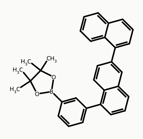 CC1(C)OB(c2cccc(-c3cccc4cc(-c5cccc6ccccc56)ccc34)c2)OC1(C)C